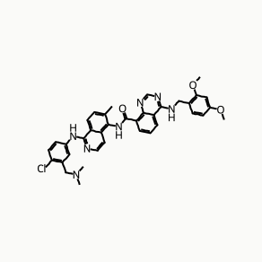 COc1ccc(CNc2ncnc3c(C(=O)Nc4c(C)ccc5c(Nc6ccc(Cl)c(CN(C)C)c6)nccc45)cccc23)c(OC)c1